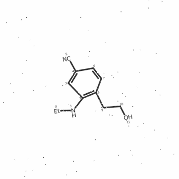 CCNc1cc(C#N)ccc1CCO